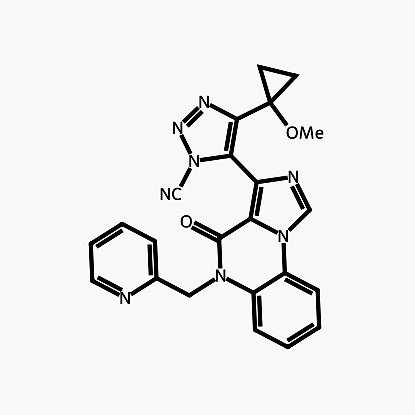 COC1(c2nnn(C#N)c2-c2ncn3c2c(=O)n(Cc2ccccn2)c2ccccc23)CC1